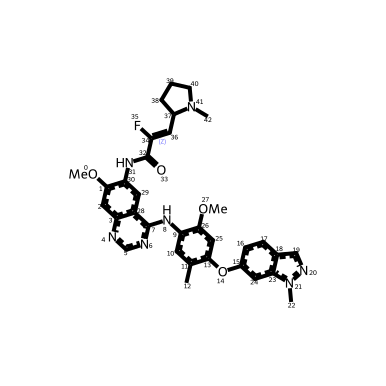 COc1cc2ncnc(Nc3cc(C)c(Oc4ccc5cnn(C)c5c4)cc3OC)c2cc1NC(=O)/C(F)=C/C1CCCN1C